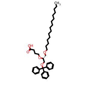 CCCCCCCCCCCCCCCCOC[C@H](COC(c1ccccc1)(c1ccccc1)c1ccccc1)OCCCC(=O)O